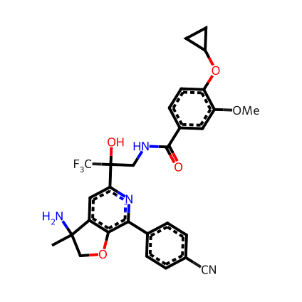 COc1cc(C(=O)NCC(O)(c2cc3c(c(-c4ccc(C#N)cc4)n2)OCC3(C)N)C(F)(F)F)ccc1OC1CC1